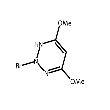 COC1=CC(OC)=NN(Br)N1